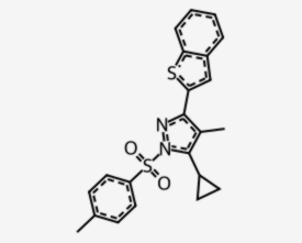 Cc1ccc(S(=O)(=O)n2nc(-c3cc4ccccc4s3)c(C)c2C2CC2)cc1